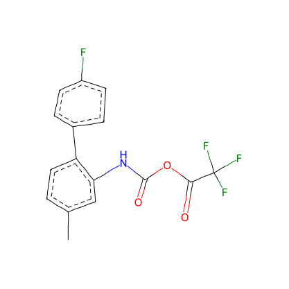 Cc1ccc(-c2ccc(F)cc2)c(NC(=O)OC(=O)C(F)(F)F)c1